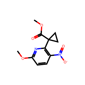 COC(=O)C1(c2nc(OC)ccc2[N+](=O)[O-])CC1